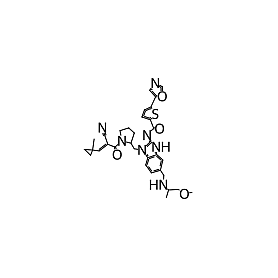 COCC(C)NCc1ccc2c(c1)[nH]c(=NC(=O)c1ccc(-c3cnco3)s1)n2CC1CCCN1C(=O)C(C#N)=CC1(C)CC1